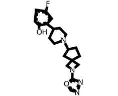 Oc1ccc(F)cc1C1CCN(C2CCC3(C2)CN(c2nnco2)C3)CC1